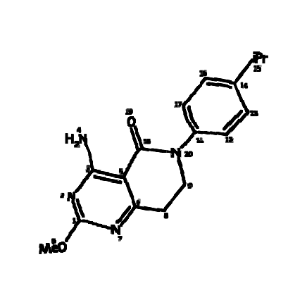 COc1nc(N)c2c(n1)CCN(c1ccc(C(C)C)cc1)C2=O